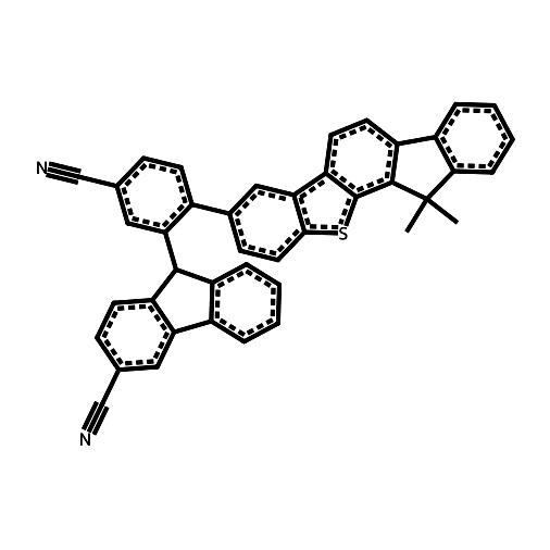 CC1(C)c2ccccc2-c2ccc3c(sc4ccc(-c5ccc(C#N)cc5C5c6ccccc6-c6cc(C#N)ccc65)cc43)c21